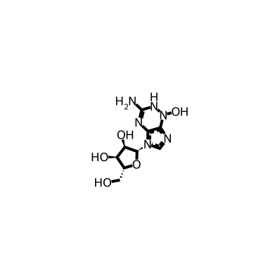 NC1=Nc2c(ncn2[C@@H]2O[C@H](CO)[C@@H](O)[C@H]2O)N(O)N1